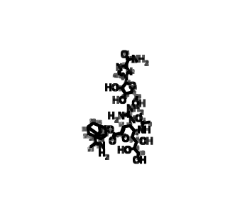 CC(=O)N[C@H]1[C@H]([C@H](O)[C@H](O)CO)OC(C(=O)O)=C[C@@H]1N=C(N)N.CC(N)C12CC3CC(CC(C3)C1)C2.NC(=O)c1ncn([C@@H]2O[C@H](CO)[C@@H](O)[C@H]2O)n1